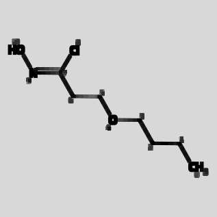 CCCCOCC/C(Cl)=N/O